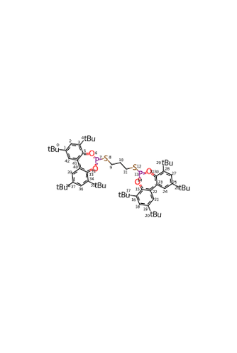 CC(C)(C)c1cc(C(C)(C)C)c2op(SCCCSp3oc4c(C(C)(C)C)cc(C(C)(C)C)cc4c4cc(C(C)(C)C)cc(C(C)(C)C)c4o3)oc3c(C(C)(C)C)cc(C(C)(C)C)cc3c2c1